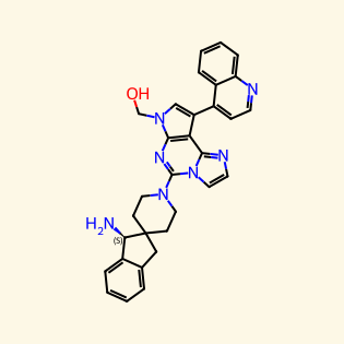 N[C@@H]1c2ccccc2CC12CCN(c1nc3c(c(-c4ccnc5ccccc45)cn3CO)c3nccn13)CC2